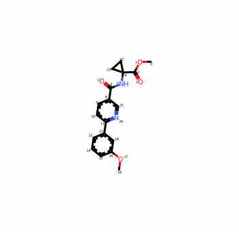 COC(=O)C1(NC(=O)c2ccc(-c3cccc(OC)c3)nc2)CC1